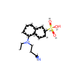 CCN(CCC#N)c1cccc2cc(S(=O)(=O)O)ccc12